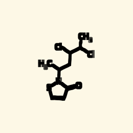 CC(Cl)C(Cl)CC(C)n1sccc1=O